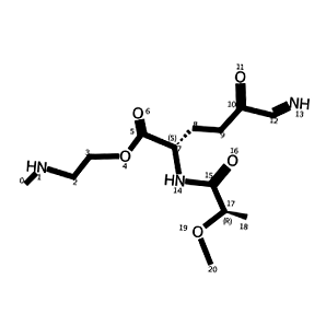 CNCCOC(=O)[C@H](CCC(=O)C=N)NC(=O)[C@@H](C)OC